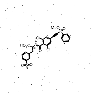 COP(=O)(C#Cc1cc(Cl)c(C(=O)N[C@@H](Cc2cccc(S(C)(=O)=O)c2)C(=O)O)c(Cl)c1)c1ccccc1